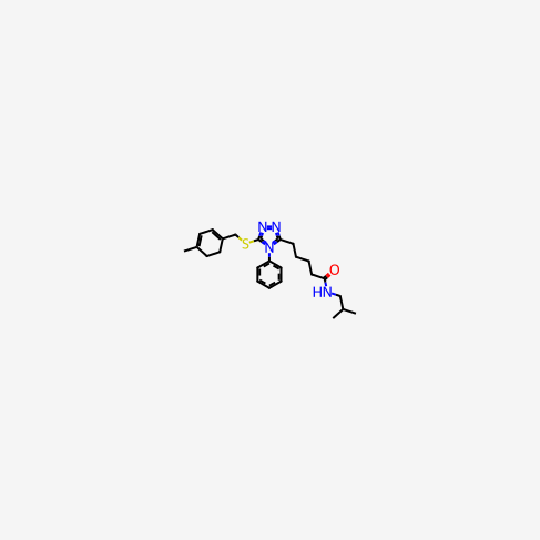 CC1=CC=C(CSc2nnc(CCCCC(=O)NCC(C)C)n2-c2ccccc2)CC1